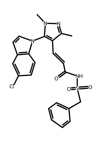 Cc1nn(C)c(-n2ccc3cc(Cl)ccc32)c1C=CC(=O)NS(=O)(=O)Cc1ccccc1